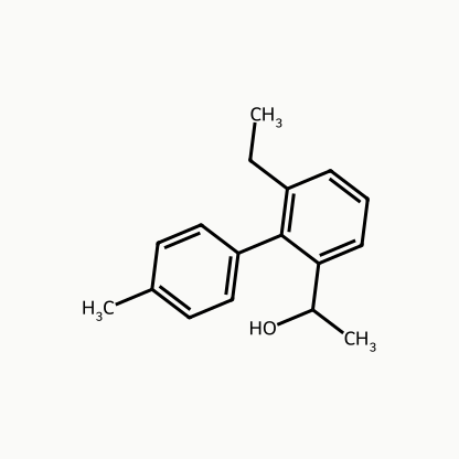 CCc1cccc(C(C)O)c1-c1ccc(C)cc1